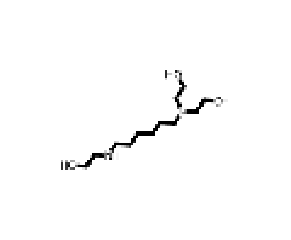 OCCNCCCCCCN(CCO)CCO